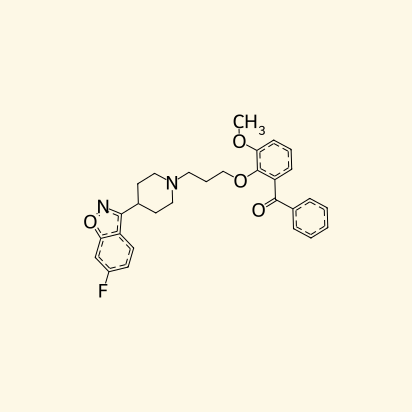 COc1cccc(C(=O)c2ccccc2)c1OCCCN1CCC(c2noc3cc(F)ccc23)CC1